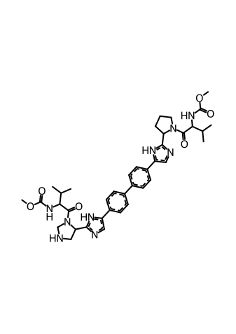 COC(=O)NC(C(=O)N1CCCC1c1ncc(-c2ccc(-c3ccc(-c4cnc(C5CNCN5C(=O)C(NC(=O)OC)C(C)C)[nH]4)cc3)cc2)[nH]1)C(C)C